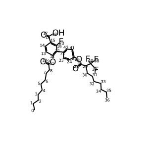 CCCCCCCCCC(=O)Oc1ccc(C(=O)O)c(F)c1-c1ccc(OC(=O)C(CCCCCCC)C(F)(F)F)cc1